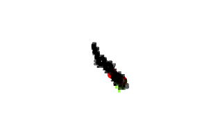 CCCCCCC1CCC(C2CCC(COc3ccc(OC(F)(F)F)cc3)CC2)CC1